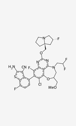 COCC1CN(CC(F)F)c2nc(OC[C@@]34CCCN3C[C@H](F)C4)nc3c(F)c(-c4ccc(F)c5sc(N)c(C#N)c45)c(Cl)c(c23)O1